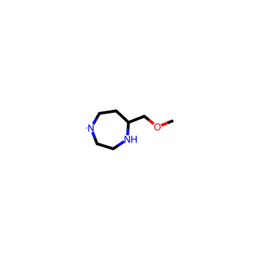 COCC1CC[N]CCN1